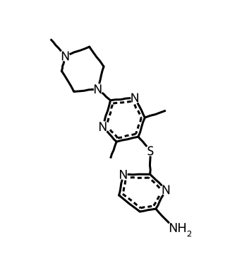 Cc1nc(N2CCN(C)CC2)nc(C)c1Sc1nccc(N)n1